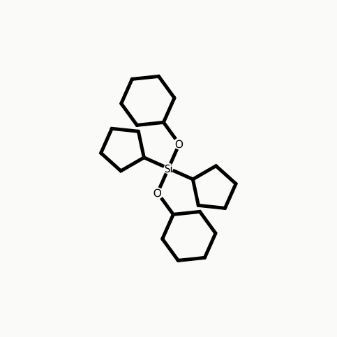 C1CCC(O[Si](OC2CCCCC2)(C2CCCC2)C2CCCC2)CC1